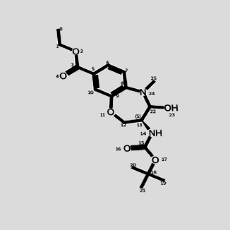 CCOC(=O)c1ccc2c(c1)OC[C@H](NC(=O)OC(C)(C)C)C(O)N2C